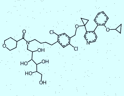 O=C(C1CCOCC1)N(CCCCc1cc(Cl)c(COC2(c3cnccc3-c3ccccc3OC3CC3)CC2)cc1Cl)CC(O)C(O)C(O)C(O)CO